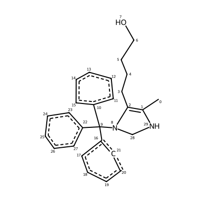 CC1=C(CCCCO)N(C(c2ccccc2)(c2ccccc2)c2ccccc2)CN1